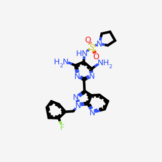 Nc1nc(-c2nn(Cc3ccccc3F)c3ncccc23)nc(N)c1NS(=O)(=O)N1CCCC1